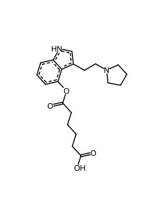 O=C(O)CCCCC(=O)Oc1cccc2[nH]cc(CCN3CCCC3)c12